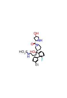 CCc1cccc(-c2c(F)cccc2[C@](O)(CCCNC(=O)O)[C@@H]2CCCN(C(=O)[C@@H]3C[C@@H](O)CN3)C2)c1